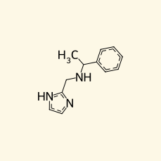 CC(NCc1ncc[nH]1)c1ccccc1